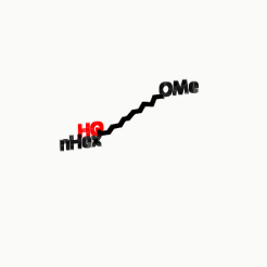 [CH2]OCCCCCCCCCCCC(O)CCCCCC